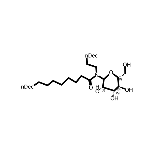 CCCCCCCCCCCCCCCCCC(=O)N(CCCCCCCCCCCC)C1O[C@H](CO)[C@@H](O)[C@H](O)[C@@H]1O